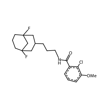 COc1cccc(C(=O)NCCCC2CC3(F)CCCC(F)(C2)C3)c1Cl